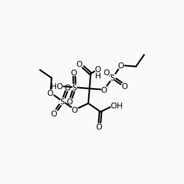 CCOS(=O)(=O)OC(C(=O)O)C(OS(=O)(=O)OCC)(C(=O)O)S(=O)(=O)O